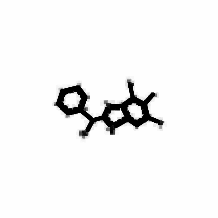 Cc1c(Br)cc2[nH]c(C(O)c3ccccc3)nc2c1Br